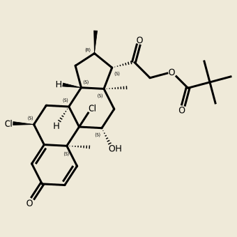 C[C@@H]1C[C@H]2[C@@H]3C[C@H](Cl)C4=CC(=O)C=C[C@]4(C)C3(Cl)[C@@H](O)C[C@]2(C)[C@H]1C(=O)COC(=O)C(C)(C)C